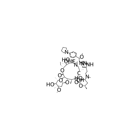 CC[C@H]1OC(=O)[C@H](C)[C@@H](O[C@H]2C[C@@](C)(OC)[C@@H](O)[C@H](C)O2)[C@H](C)[C@@H](O[C@@H]2O[C@H](C)C[C@H](N(C)CCC3=CN([C@H](CF)[C@H](OC)c4ccc(N5CCCC5)cc4)NN3)[C@H]2O)[C@](C)(O)C[C@@H](C)CN(C)[C@H](C)[C@@H](O)[C@]1(C)O